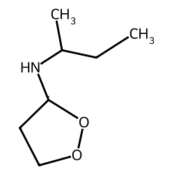 CCC(C)N[C]1CCOO1